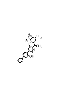 C=C(c1ncc(-c2ccc(-n3ccnc3)cc2O)nn1)[C@@H]1C[C@H](C)C[C@](C)(CCC)[C@H]1F